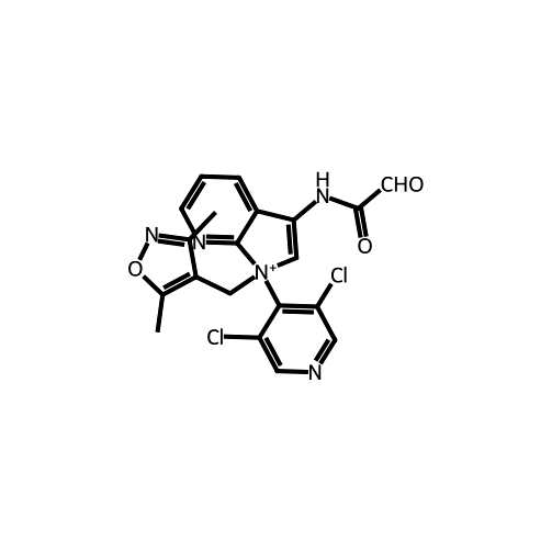 Cc1noc(C)c1C[N+]1(c2c(Cl)cncc2Cl)C=C(NC(=O)C=O)c2cccnc21